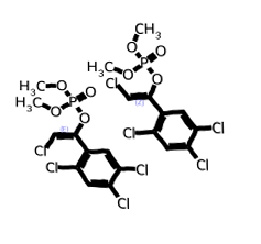 COP(=O)(OC)O/C(=C/Cl)c1cc(Cl)c(Cl)cc1Cl.COP(=O)(OC)O/C(=C\Cl)c1cc(Cl)c(Cl)cc1Cl